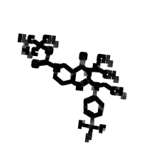 CCN(c1ccc(C(F)(F)F)cc1)c1nc2c(c(=O)n1N(C)C)CN(C(=O)OC(C)(C)C)CC2